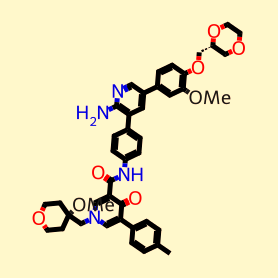 COc1cc(-c2cnc(N)c(-c3ccc(NC(=O)c4cn(CC5(OC)CCOCC5)cc(-c5ccc(C)cc5)c4=O)cc3)c2)ccc1OC[C@H]1COCCO1